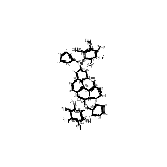 [2H]c1c([2H])c([2H])c(N(c2ccccc2)c2cc3c4c(ccc5cc(N(c6ccccc6)c6c([2H])c([2H])c([2H])c([2H])c6[2H])c6cccc(c6c54)O3)c2)c([2H])c1[2H]